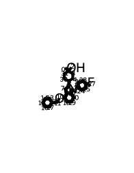 CC1(O)CCC(c2cc3c(OCc4ccccc4)cccc3n2-c2ccc(F)cc2)CC1